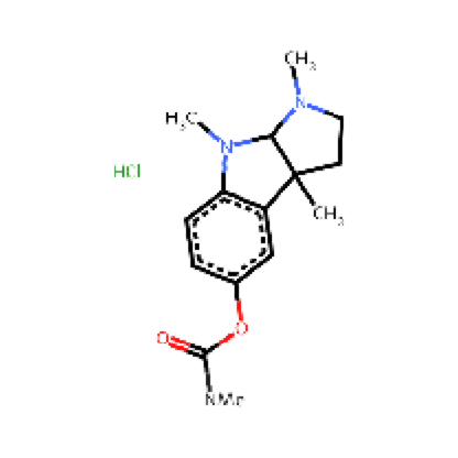 CNC(=O)Oc1ccc2c(c1)C1(C)CCN(C)C1N2C.Cl